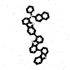 c1ccc(N(c2ccc3ccccc3c2)c2cccc3c2oc2cc(-c4cccc5c4sc4cccc(-c6cccc7sc8ccccc8c67)c45)ccc23)cc1